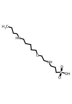 CCCCNCCCCCOCCNCCCS(=O)(=O)O